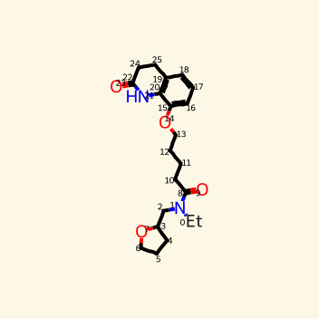 CCN(CC1CCCO1)C(=O)CCCCOc1cccc2c1NC(=O)CC2